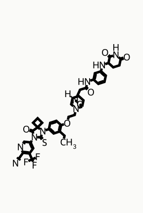 CCc1cc(N2C(=S)N(c3cnc(C#N)c(C(F)(F)F)c3)C(=O)C23CCC3)ccc1OCCN1C[C@@H]2CCC1CN2CC(=O)Nc1cccc(NC2CCC(=O)NC2=O)c1